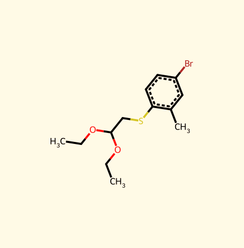 CCOC(CSc1ccc(Br)cc1C)OCC